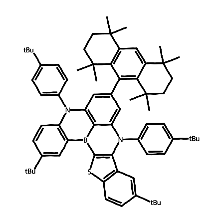 CC(C)(C)c1ccc(N2c3ccc(C(C)(C)C)cc3B3c4sc5ccc(C(C)(C)C)cc5c4N(c4ccc(C(C)(C)C)cc4)c4cc(-c5c6c(cc7c5C(C)(C)CCC7(C)C)C(C)(C)CCC6(C)C)cc2c43)cc1